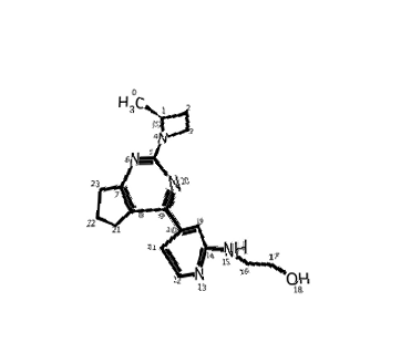 C[C@H]1CCN1c1nc2c(c(-c3ccnc(NCCO)c3)n1)CCC2